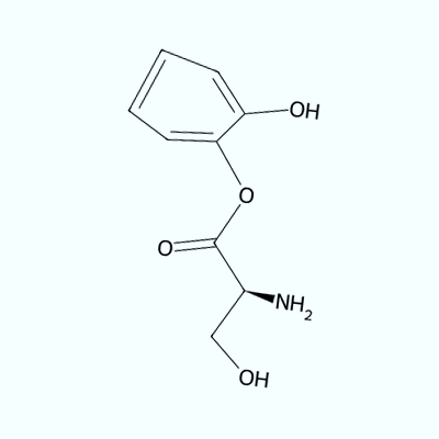 N[C@@H](CO)C(=O)Oc1ccccc1O